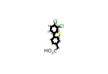 O=C(O)Cc1ccc2c(c1)sc1c(Cl)c(Cl)ccc12